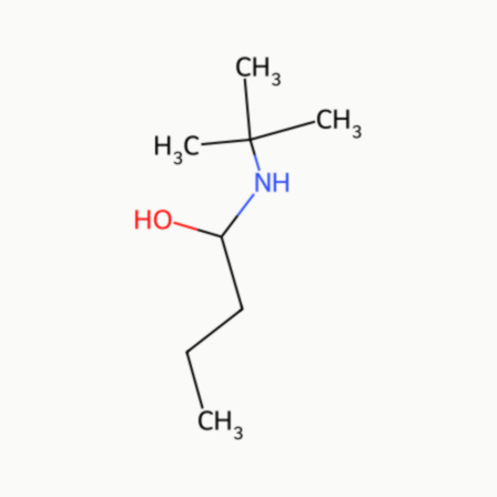 CCCC(O)NC(C)(C)C